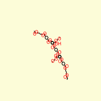 C=CC(=O)OCCCCOC(=O)C1CCC(C(=O)Oc2ccc(OC(=O)C3CCC(C(=O)Oc4ccc(OC(=O)C5CCC(C(=O)OCCCCOC(C)=O)CC5)cc4C(O)OCCOC)CC3)c(C(=O)OCCOC)c2)CC1